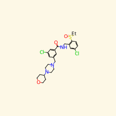 CC[S+]([O-])c1ccc(Cl)cc1CNC(=O)c1cc(Cl)cc(CN2CCN(C3CCOCC3)CC2)c1